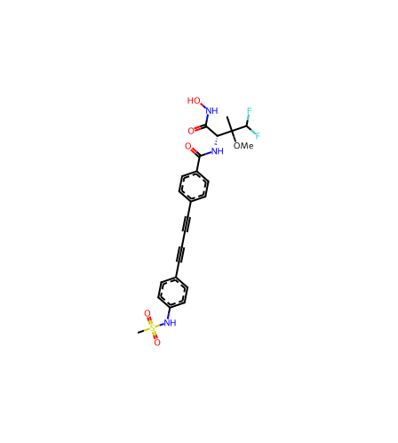 COC(C)(C(F)F)[C@H](NC(=O)c1ccc(C#CC#Cc2ccc(NS(C)(=O)=O)cc2)cc1)C(=O)NO